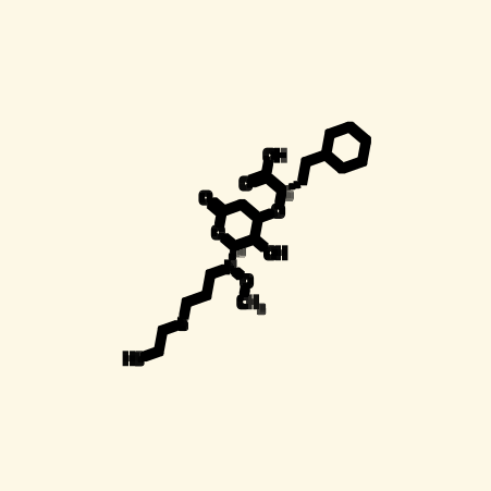 CON(CCCSCCS)[C@@H]1OC(=O)CC(O[C@@H](CCC2CCCCC2)C(=O)O)C1O